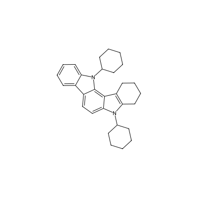 c1ccc2c(c1)c1ccc3c(c4c(n3C3CCCCC3)CCCC4)c1n2C1CCCCC1